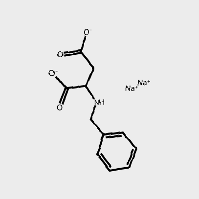 O=C([O-])CC(NCc1ccccc1)C(=O)[O-].[Na+].[Na+]